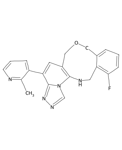 Cc1ncccc1-c1cc2c(n3cnnc13)NCc1c(F)cccc1COC2